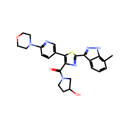 Cc1cccc2c(-c3nc(C(=O)N4CCC(O)C4)c(-c4ccc(N5CCOCC5)nc4)s3)n[nH]c12